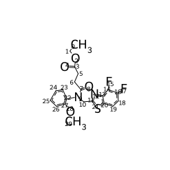 CCOC(=O)CCC(=O)N(Cc1nc2c(F)c(F)ccc2s1)c1ccccc1OC